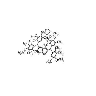 Cc1cc(C(c2ccc3ccc(C(c4cc(C)c(ON)c(C)c4C)c4cc(C)c(OC(C)OC5CCCCC5)c(C)c4C)cc3c2)c2cc(C)c(ON)c(C)c2C)c(C)c(C)c1N=O